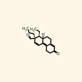 CCC[C@]1(C=O)C=CC2=C3CCC(=O)C=C3CC[C@H]2[C@@H]1CC